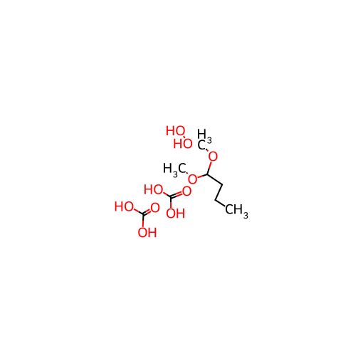 CCCC(OC)OC.O=C(O)O.O=C(O)O.OO